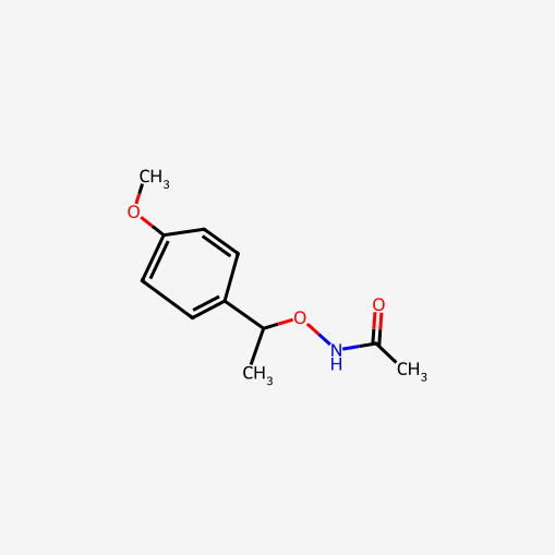 COc1ccc(C(C)ONC(C)=O)cc1